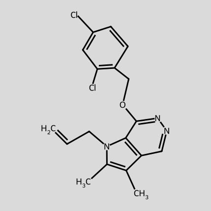 C=CCn1c(C)c(C)c2cnnc(OCc3ccc(Cl)cc3Cl)c21